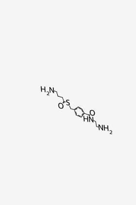 NCCCC(=O)SCc1ccc(C(=O)NCCN)cc1